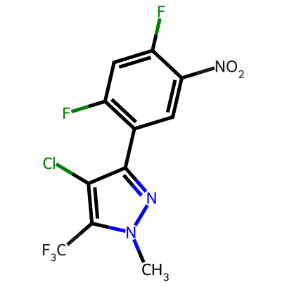 Cn1nc(-c2cc([N+](=O)[O-])c(F)cc2F)c(Cl)c1C(F)(F)F